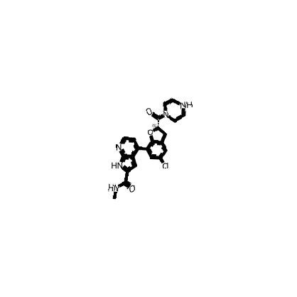 CNC(=O)c1cc2c(-c3cc(Cl)cc4c3O[C@H](C(=O)N3CCNCC3)C4)ccnc2[nH]1